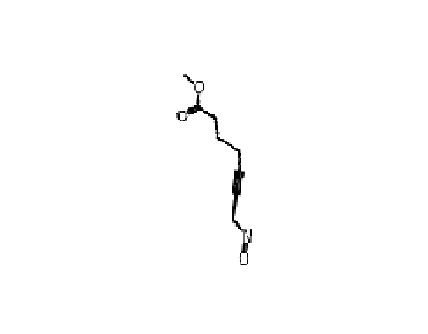 COC(=O)CCCC#CCN=O